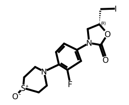 O=C1O[C@@H](CI)CN1c1ccc(N2CC[S+]([O-])CC2)c(F)c1